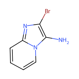 Nc1c(Br)nc2ccccn12